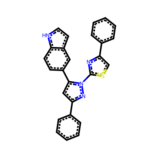 c1ccc(-c2csc(-n3nc(-c4ccccc4)cc3-c3ccc4[nH]ccc4c3)n2)cc1